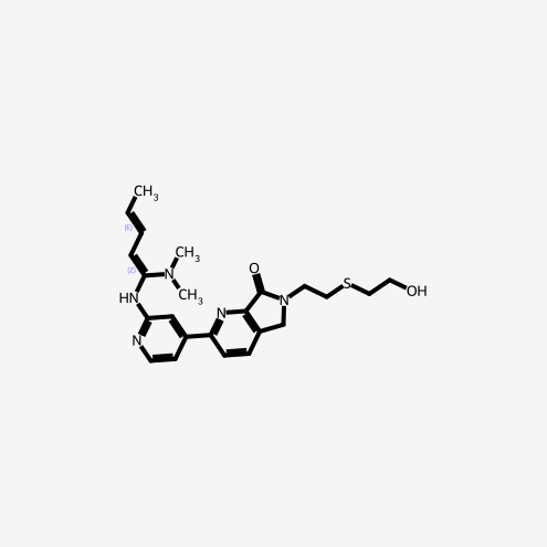 C/C=C/C=C(/Nc1cc(-c2ccc3c(n2)C(=O)N(CCSCCO)C3)ccn1)N(C)C